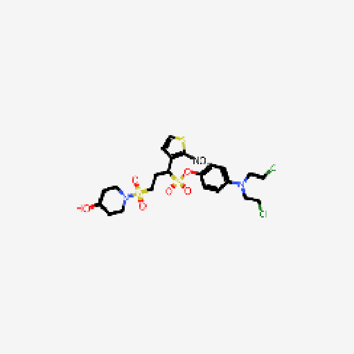 O=[N+]([O-])c1sccc1C(CCS(=O)(=O)N1CCC(O)CC1)S(=O)(=O)Oc1ccc(N(CCCl)CCCl)cc1